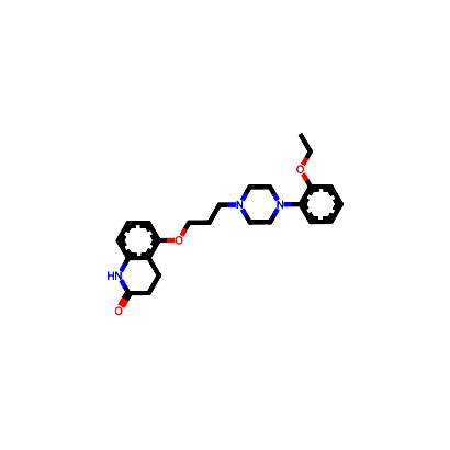 CCOc1ccccc1N1CCN(CCCOc2cccc3c2CCC(=O)N3)CC1